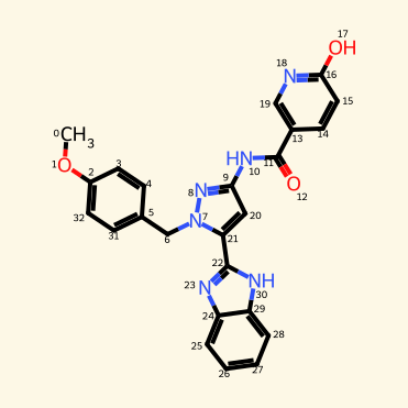 COc1ccc(Cn2nc(NC(=O)c3ccc(O)nc3)cc2-c2nc3ccccc3[nH]2)cc1